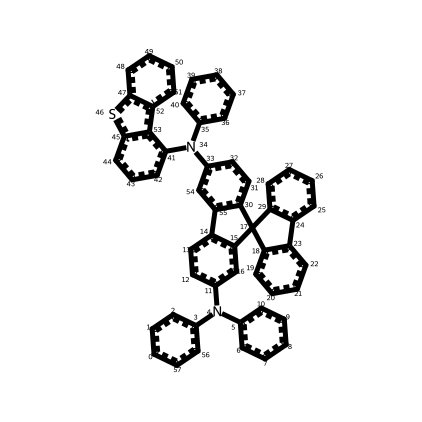 c1ccc(N(c2ccccc2)c2ccc3c(c2)C2(c4ccccc4-c4ccccc42)c2ccc(N(c4ccccc4)c4cccc5sc6ccccc6c45)cc2-3)cc1